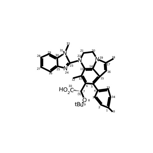 Cc1ccc(-c2c([C@H](OC(C)(C)C)C(=O)O)c(C)c3c4c2cc(C)n4CCN3c2nc3ccccc3n2C)cc1